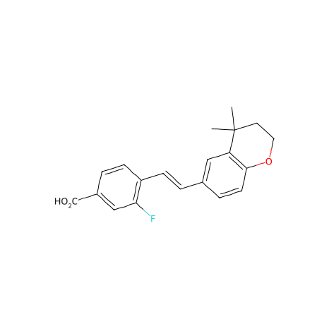 CC1(C)CCOc2ccc(C=Cc3ccc(C(=O)O)cc3F)cc21